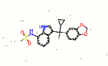 CC(c1ccc2c(c1)OCO2)(c1c[nH]c2c(NS(C)(=O)=O)cccc12)C1CC1